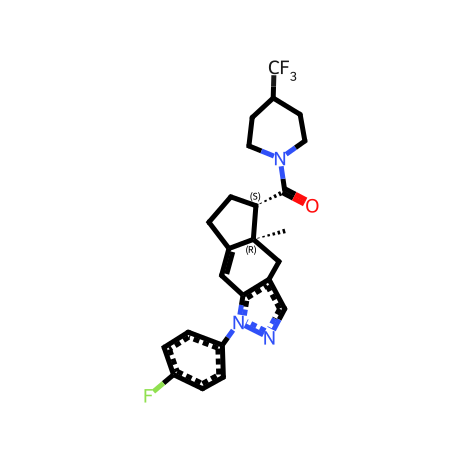 C[C@]12Cc3cnn(-c4ccc(F)cc4)c3C=C1CC[C@@H]2C(=O)N1CCC(C(F)(F)F)CC1